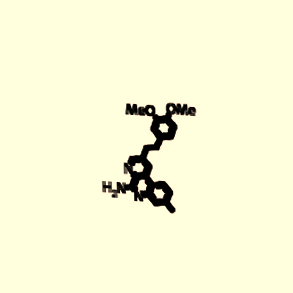 COc1ccc(CCc2cnc3c(N)nc4cc(C)ccc4c3c2)cc1OC